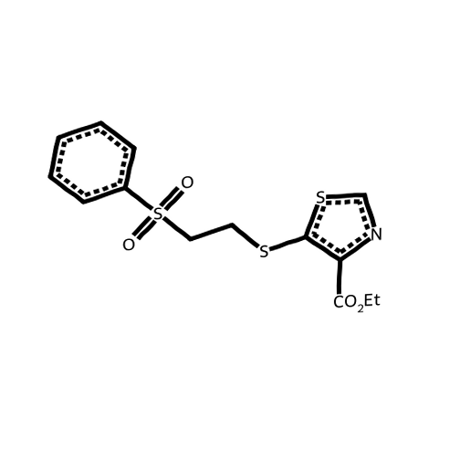 CCOC(=O)c1ncsc1SCCS(=O)(=O)c1ccccc1